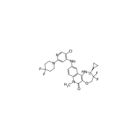 Cn1c(=O)c2c(c3cc(Nc4cc(N5CCC(F)(F)CC5)ncc4Cl)ccc31)N[C@@H](C1CC1)C(F)(F)CO2